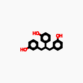 Oc1cccc(CC(Cc2cccc(O)c2)c2cccc(O)c2)c1